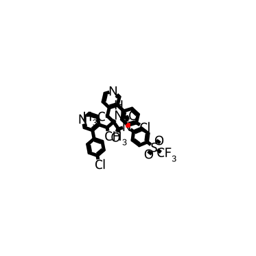 CC(c1ccncc1-c1ccc(Cl)cc1)C1(C(C)c2ccncc2-c2ccc(Cl)cc2)NC(=O)N(c2ccc(S(=O)(=O)C(F)(F)F)cc2)C1=O